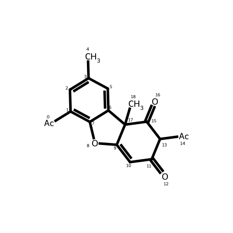 CC(=O)c1cc(C)cc2c1OC1=CC(=O)C(C(C)=O)C(=O)C12C